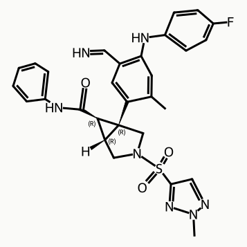 Cc1cc(Nc2ccc(F)cc2)c(C=N)cc1[C@@]12CN(S(=O)(=O)c3cnn(C)n3)C[C@@H]1[C@H]2C(=O)Nc1ccccc1